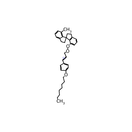 CCCCCCCCOc1ccc(/C=C/COOc2cccc3c2C2(CCc4cccc(C)c42)CC3)cc1